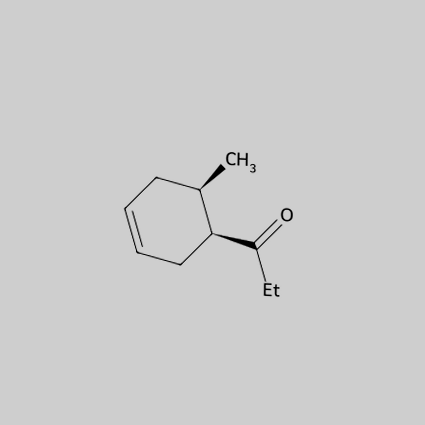 CCC(=O)[C@H]1CC=CC[C@H]1C